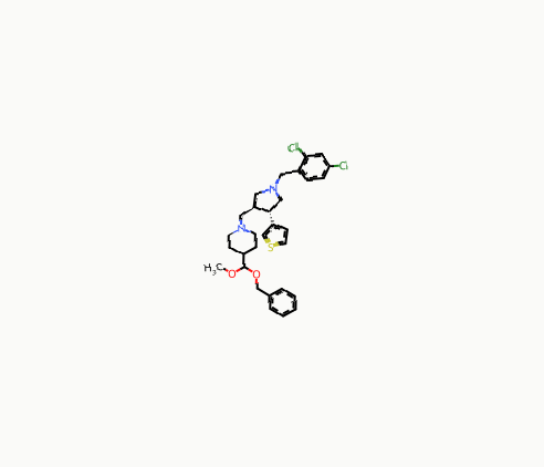 COC(OCc1ccccc1)C1CCN(C[C@H]2CN(Cc3ccc(Cl)cc3Cl)C[C@@H]2c2ccsc2)CC1